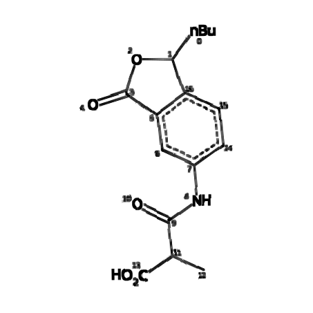 CCCCC1OC(=O)c2cc(NC(=O)C(C)C(=O)O)ccc21